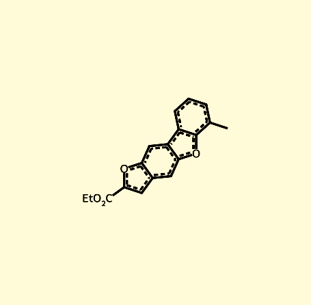 CCOC(=O)c1cc2cc3oc4c(C)cccc4c3cc2o1